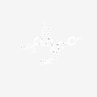 CC[C@H]1CN(C(=O)[C@]2(F)CN([C@H]3CC[C@H](C)CC3)C[C@H]2c2ccc(OC)cc2)C[C@@H]1c1ccc(F)cc1N1CCC(C(N)=O)CC1